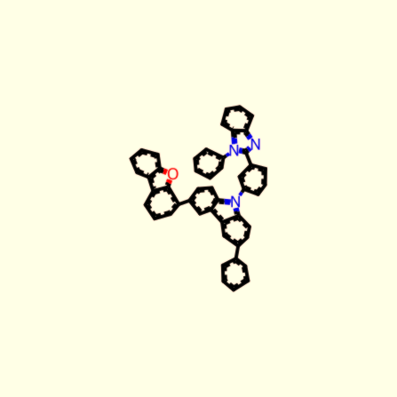 c1ccc(-c2ccc3c(c2)c2cc(-c4cccc5c4oc4ccccc45)ccc2n3-c2cccc(-c3nc4ccccc4n3-c3ccccc3)c2)cc1